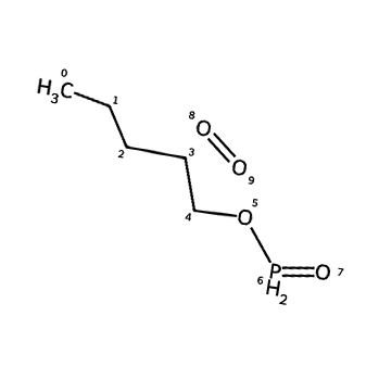 CCCCCO[PH2]=O.O=O